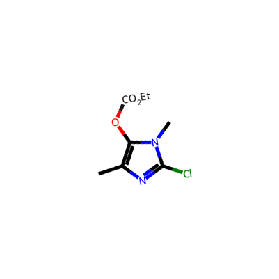 CCOC(=O)Oc1c(C)nc(Cl)n1C